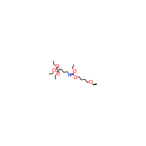 C=COCCCCOC(=NCCC[Si](OCC)(OCC)OCC)OCC